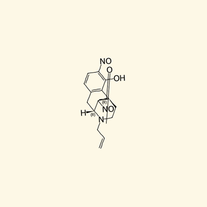 C=CCN1CC[C@]23CC(=O)CCC2(N=O)[C@H]1Cc1ccc(N=O)c(O)c13